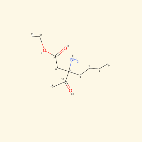 CCCCC(N)(CC(=O)OCC)C(C)=O